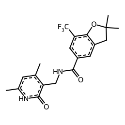 Cc1cc(C)c(CNC(=O)c2cc3c(c(C(F)(F)F)c2)OC(C)(C)C3)c(=O)[nH]1